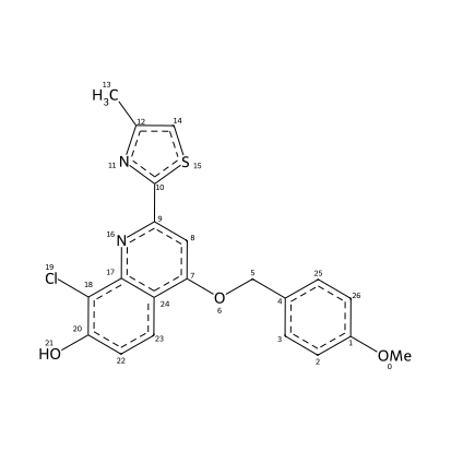 COc1ccc(COc2cc(-c3nc(C)cs3)nc3c(Cl)c(O)ccc23)cc1